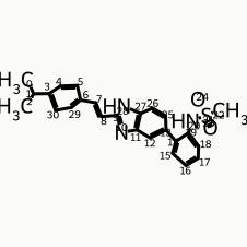 CC(C)c1ccc(C=Cc2nc3cc(-c4ccccc4NS(C)(=O)=O)ccc3[nH]2)cc1